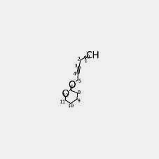 C#CCC#CCOC1CCCCO1